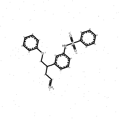 C=CCC(COc1c[c]ccc1)c1cccc(NS(=O)(=O)c2ccccc2)c1